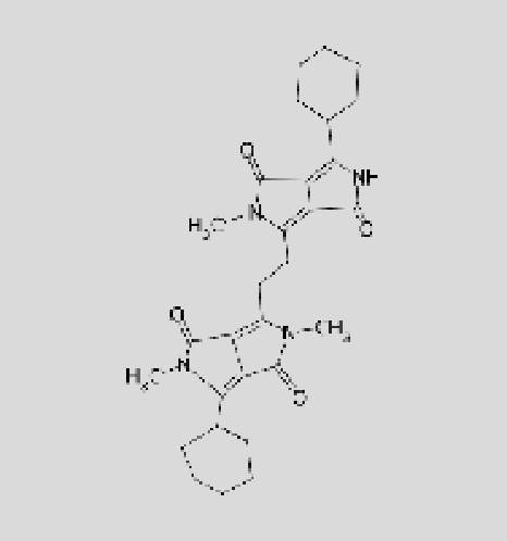 CN1C(=O)C2=C(C3CCCCC3)NC(=O)C2=C1CCC1=C2C(=O)N(C)C(C3CCCCC3)=C2C(=O)N1C